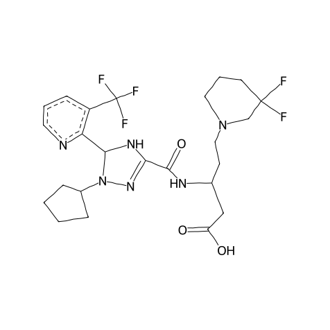 O=C(O)CC(CCN1CCCC(F)(F)C1)NC(=O)C1=NN(C2CCCC2)C(c2ncccc2C(F)(F)F)N1